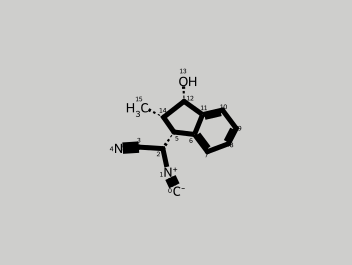 [C-]#[N+]C(C#N)[C@H]1c2ccccc2[C@@H](O)[C@H]1C